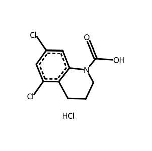 Cl.O=C(O)N1CCCc2c(Cl)cc(Cl)cc21